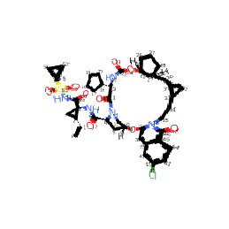 C=C[C@@H]1C[C@]1(NC(=O)[C@@H]1C[C@@H]2CN1C(=O)[C@H](C1CCCC1)NC(=O)O[C@@H]1CCC[C@H]1CC1CC1CCn1c(cc3cc(Cl)ccc3c1=O)O2)C(=O)NS(=O)(=O)C1CC1